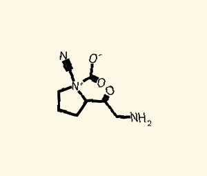 N#C[N+]1(C(=O)[O-])CCCC1C(=O)CN